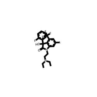 CCN(CC)CCN1C(=O)C(O)(c2ccccc2F)c2c1cc(I)cc2C(F)(F)F